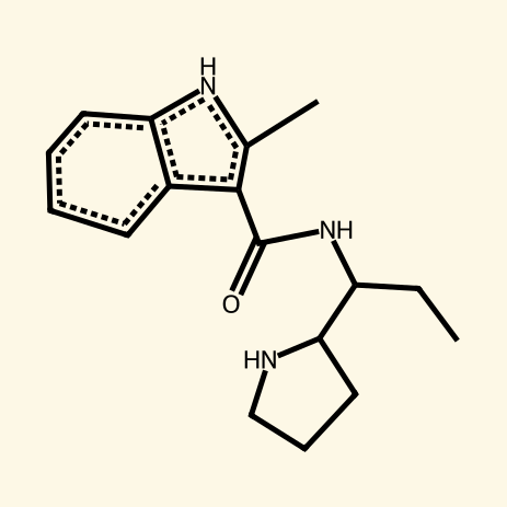 CCC(NC(=O)c1c(C)[nH]c2ccccc12)C1CCCN1